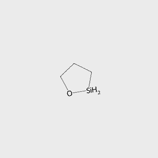 C1CO[SiH2]C1